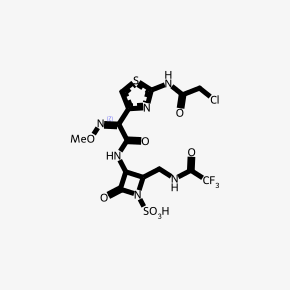 CO/N=C(\C(=O)NC1C(=O)N(S(=O)(=O)O)C1CNC(=O)C(F)(F)F)c1csc(NC(=O)CCl)n1